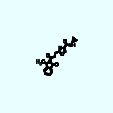 CC1c2ccccc2C(=O)N1C(=O)CCc1nc(C(=O)NC2CC2)co1